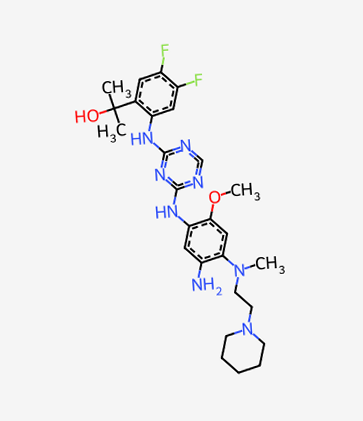 COc1cc(N(C)CCN2CCCCC2)c(N)cc1Nc1ncnc(Nc2cc(F)c(F)cc2C(C)(C)O)n1